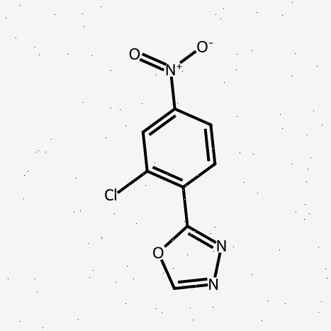 O=[N+]([O-])c1ccc(-c2nnco2)c(Cl)c1